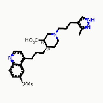 COc1ccc2nccc(CCC[C@@H]3CCN(CCCc4c[nH]nc4C)C[C@@H]3C(=O)O)c2c1